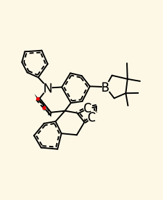 CC1(C)CB(c2ccc3c(c2)C2(c4ccccc4Cc4ccccc42)c2ccccc2N3c2ccccc2)CC1(C)C